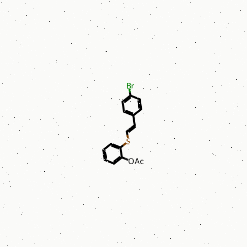 CC(=O)Oc1ccccc1SC=Cc1ccc(Br)cc1